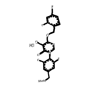 CNCc1cc(F)c(-n2cnc(OCc3ccc(F)cc3F)c(Cl)c2=O)c(F)c1.Cl